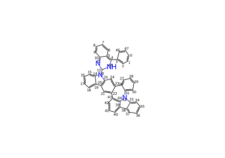 c1ccc(C2=c3ccccc3=NC(n3c4ccccc4c4cc5c(cc43)-c3ccccc3-n3c4ccccc4c4cccc-5c43)N2)cc1